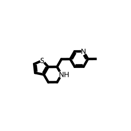 Cc1ccc(CC2NCCc3ccsc32)cn1